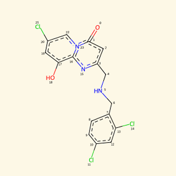 O=c1cc(CNCc2ccc(Cl)cc2Cl)nc2c(O)cc(Cl)cn12